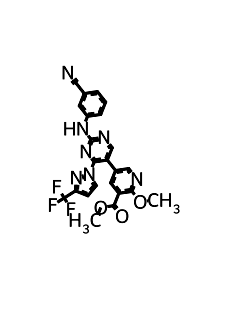 COC(=O)c1cc(-c2cnc(Nc3cccc(C#N)c3)nc2-n2ccc(C(F)(F)F)n2)cnc1OC